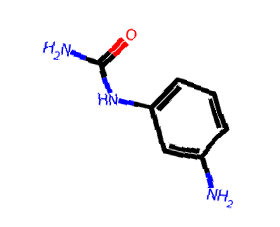 NC(=O)Nc1cccc(N)c1